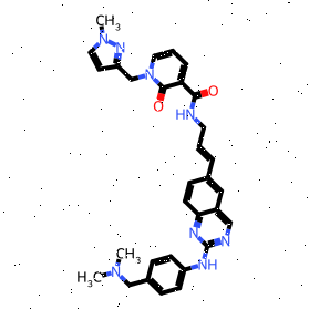 CN(C)Cc1ccc(Nc2ncc3cc(/C=C/CNC(=O)c4cccn(Cc5ccn(C)n5)c4=O)ccc3n2)cc1